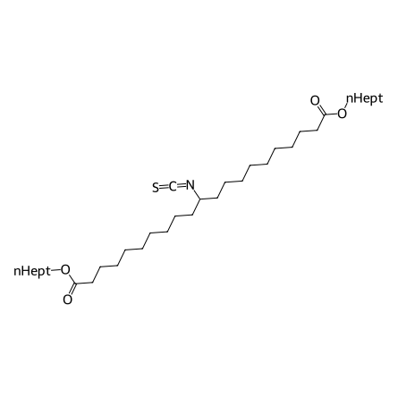 CCCCCCCOC(=O)CCCCCCCCCC(CCCCCCCCCC(=O)OCCCCCCC)N=C=S